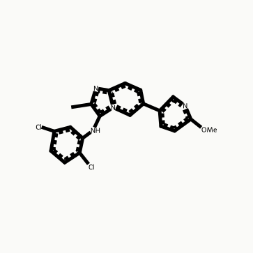 COc1ccc(-c2ccc3nc(C)c(Nc4cc(Cl)ccc4Cl)n3c2)cn1